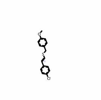 COc1ccc(CS/C=C/c2ccc(Cl)cc2)cc1